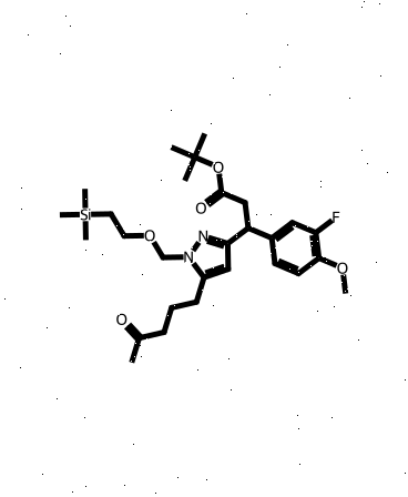 COc1ccc(C(CC(=O)OC(C)(C)C)c2cc(CCCC(C)=O)n(COCC[Si](C)(C)C)n2)cc1F